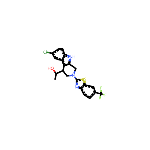 CC(O)C1CN(c2nc3ccc(C(F)(F)F)cc3s2)Cc2[nH]c3ccc(Cl)cc3c21